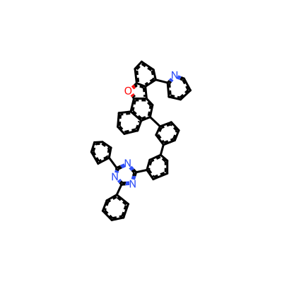 c1ccc(-c2nc(-c3ccccc3)nc(-c3cccc(-c4cccc(-c5cc6c(oc7cccc(-c8ccccn8)c76)c6ccccc56)c4)c3)n2)cc1